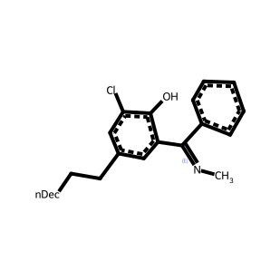 CCCCCCCCCCCCc1cc(Cl)c(O)c(/C(=N/C)c2ccccc2)c1